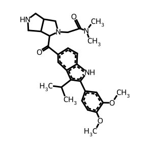 COc1ccc(-c2[nH]c3ccc(C(=O)C4C5CNCC5CN4CC(=O)N(C)C)cc3c2C(C)C)cc1OC